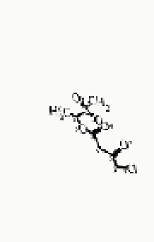 CC(OC(=O)CC(=O)CCl)S(C)(=O)=O